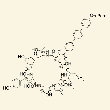 CCCCCOc1ccc(-c2ccc(-c3ccc(C(=O)N[C@H]4C[C@@H](O)C(OC(CN)CN)NC(=O)C5[C@@H](O)[C@@H](C)CN5C(=O)C([C@@H](C)O)NC(=O)C([C@H](O)[C@@H](O)c5ccc(O)cc5)NC(=O)C5C[C@@H](O)CC5C(=O)C([C@@H](C)O)NC4=O)cc3)cc2)cc1